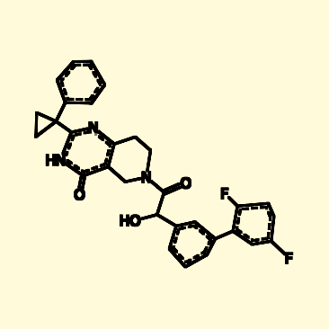 O=C(C(O)c1cccc(-c2cc(F)ccc2F)c1)N1CCc2nc(C3(c4ccccc4)CC3)[nH]c(=O)c2C1